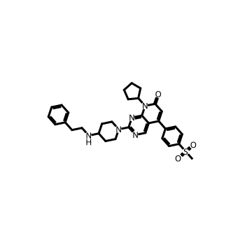 CS(=O)(=O)c1ccc(-c2cc(=O)n(C3CCCC3)c3nc(N4CCC(NCCc5ccccc5)CC4)ncc23)cc1